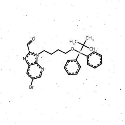 CC(C)(C)[Si](OCCCCn1c(C=O)nc2cc(Br)cnc21)(c1ccccc1)c1ccccc1